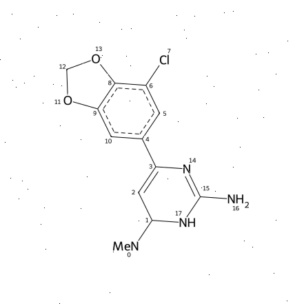 CNC1C=C(c2cc(Cl)c3c(c2)OCO3)N=C(N)N1